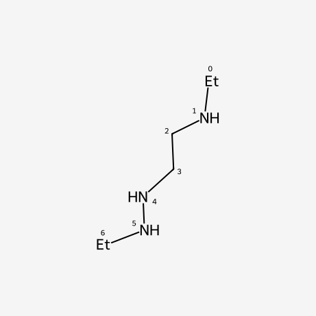 CCNCCNNCC